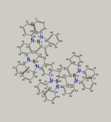 c1ccc(N2B3c4c(cc5c6c4-c4c(cccc4N(c4ccccc4)B6N(c4ccccc4)c4cc6c(cc4-5)-c4cc5c7c8c4B(N6c4ccccc4)N(c4ccccc4)c4cccc(c4-8)N(c4ccccc4)B7N(c4ccccc4)c4ccccc4-5)N3c3ccccc3)-c3ccccc32)cc1